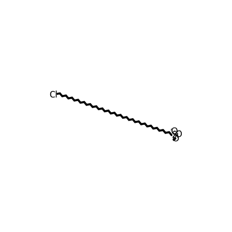 CO[Si](CCCCCCCCCCCCCCCCCCCCCCCCCCCCCCCCCCCCCCCl)(OC)OC